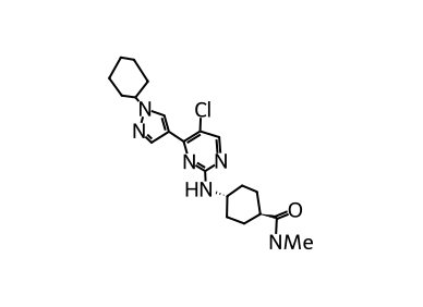 CNC(=O)[C@H]1CC[C@H](Nc2ncc(Cl)c(-c3cnn(C4CCCCC4)c3)n2)CC1